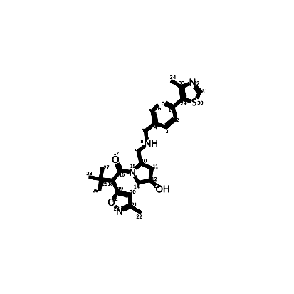 C=C(/C=C\C(=C/C)CNCC1CC(O)CN1C(=O)C(c1cc(C)no1)C(C)(C)C)c1scnc1C